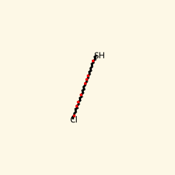 SCCCCCCCCCCCCCCCCCCCCCCCCCCCCCCCCCCl